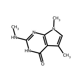 CNc1nc2c(c(C)cn2C)c(=O)[nH]1